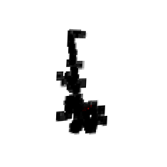 CCC(C)(CC)C(=O)C(CCCCNC(=O)CCOCCOCCOC)NC(=O)CSCC(=O)O[C@@H](C(=O)O[C@H]1C[C@@]2(O)[C@@H](OC(=O)c3ccccc3)[C@@H]3[C@]4(OC(C)=O)CO[C@@H]4C[C@H](O)[C@@]3(C)C(=O)[C@H](O)C(=C1C)C2(C)C)[C@@H](NC(=O)OC(C)(C)C)c1ccccc1